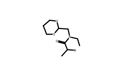 CCN(CC1OCCCO1)C(=O)C(C)Br